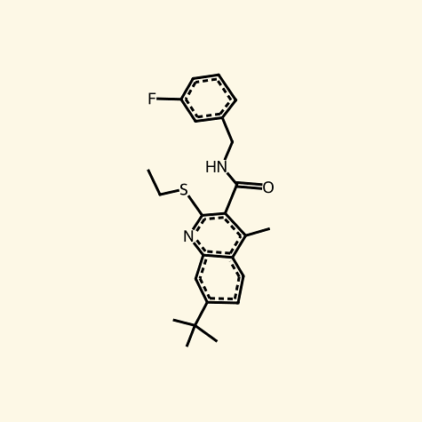 CCSc1nc2cc(C(C)(C)C)ccc2c(C)c1C(=O)NCc1cccc(F)c1